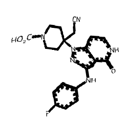 N#CCC1(n2nc(Nc3ccc(F)cc3)c3c(=O)[nH]ccc32)CCN(C(=O)O)CC1